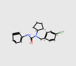 O=C(Nc1c#cccc1)N(Cc1ccc(Cl)cc1)C1CCCC1